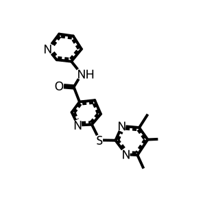 Cc1nc(Sc2ccc(C(=O)Nc3cccnc3)cn2)nc(C)c1C